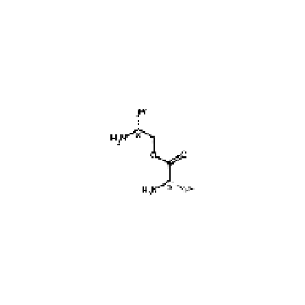 CC(C)[C@H](N)C(=O)OC[C@H](N)C(C)C